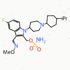 CON=Cc1c(COS(N)(=O)=O)n(C2CCN(C3CCC(C(C)C)CC3)CC2)c2ccc(F)cc12